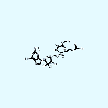 CC(C)OC(=O)[C@@H](C)N[P@@](=O)(OCCSC(=O)C(C)(C)C)OC[C@H]1O[C@@H](n2cnc3c(N)nc(N)nc32)C(Cl)(Cl)[C@@H]1O